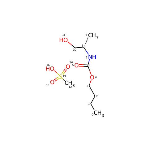 CCCCOC(=O)N[C@@H](C)CO.CS(=O)(=O)O